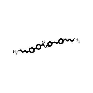 CCCCCC1CCC(CCc2ccc(OC(=O)C3CCC(C4CCC(CCCCC)CC4)CC3)cc2)CC1